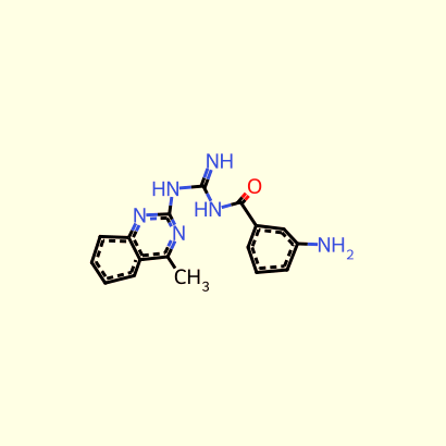 Cc1nc(NC(=N)NC(=O)c2cccc(N)c2)nc2ccccc12